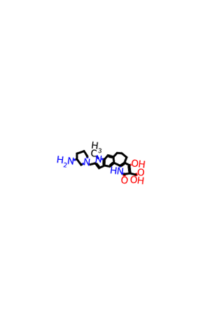 Cn1c(CN2CCCC(N)C2)cc2cc3c(cc21)CCCc1c-3[nH]c(=O)c(C(=O)O)c1O